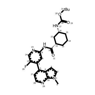 Cn1ccc2c(-c3cc(NC(=O)[C@H]4CCC[C@@H](NC(=O)OC(C)(C)C)C4)ncc3F)ccnc21